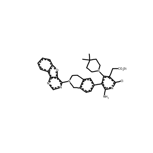 CCOC(=O)Cc1c(Cl)nc(N)c(-c2ccc3c(c2)CCN(c2ncnc4c2oc2ccccc24)C3)c1N1CCC(C)(C)CC1